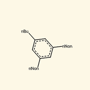 [CH2]CCCc1cc(CCCCCCCCC)cc(CCCCCCCCC)c1